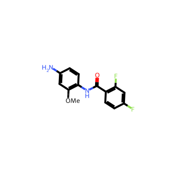 COc1cc(N)ccc1NC(=O)c1ccc(F)cc1F